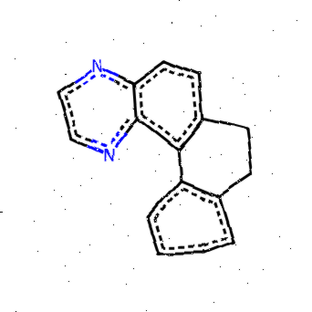 c1ccc2c(c1)CCc1ccc3nccnc3c1-2